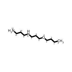 CCCCOCCCNCCCN